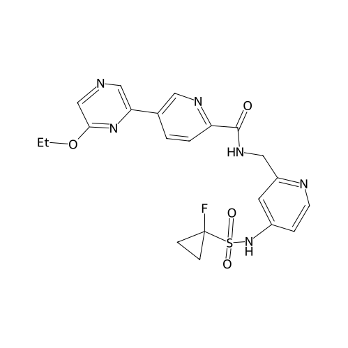 CCOc1cncc(-c2ccc(C(=O)NCc3cc(NS(=O)(=O)C4(F)CC4)ccn3)nc2)n1